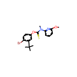 COc1cccc(N(C)C(=S)Oc2ccc(Br)c(C(C)(C)C)c2)n1